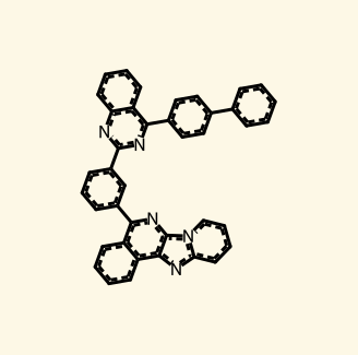 c1ccc(-c2ccc(-c3nc(-c4cccc(-c5nc6c(nc7ccccn76)c6ccccc56)c4)nc4ccccc34)cc2)cc1